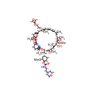 CO[C@@H]1C[C@H](C[C@@H](C)[C@@H]2CC(=O)[C@H](C)/C=C(\C)[C@@H](O)[C@@H](OC)C(=O)[C@H](C)C[C@H](C)/C=C/C=C/C=C(\C)[C@@H](OCCOC3COC3)C[C@@H]3CC[C@@H](C)[C@@](O)(O3)C(=O)C(=O)N3CCCC[C@H]3C(=O)O2)CC[C@H]1OC(=O)NCCN1CCOCC1